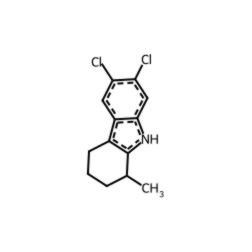 CC1CCCc2c1[nH]c1cc(Cl)c(Cl)cc21